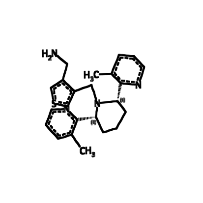 Cc1cccnc1[C@H]1CCC[C@@H](c2ncccc2C)N1Cc1cscc1CN